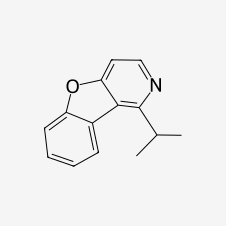 CC(C)c1nccc2oc3ccccc3c12